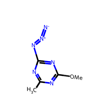 COc1nc(C)nc(N=[N+]=[N-])n1